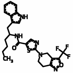 CCCCC(Cc1c[nH]c2ccccc12)NC(=O)c1cnc(N2CCc3noc(C(F)(F)F)c3C2)s1